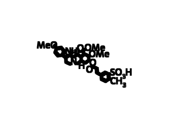 COC(=O)[C@H]1[C@H]2C[C@@H]3c4[nH]c5cc(OC)ccc5c4CCN3C[C@H]2C[C@@H](OC(=O)/C=C/c2ccc(C)c(S(=O)(=O)O)c2)[C@@H]1OC